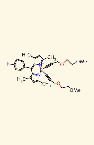 COCCOCC#C[B-]1(C#CCOCCOC)n2c(C)cc(C)c2C(c2ccc(I)cc2)=C2C(C)=CC(C)=[N+]21